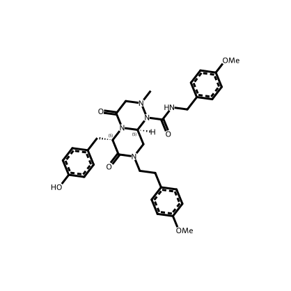 COc1ccc(CCN2C[C@H]3N(C(=O)CN(C)N3C(=O)NCc3ccc(OC)cc3)[C@@H](Cc3ccc(O)cc3)C2=O)cc1